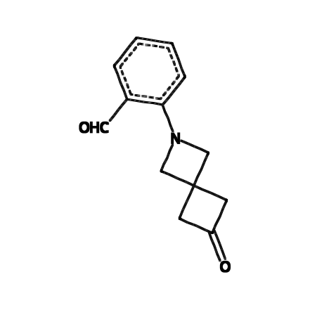 O=Cc1ccccc1N1CC2(CC(=O)C2)C1